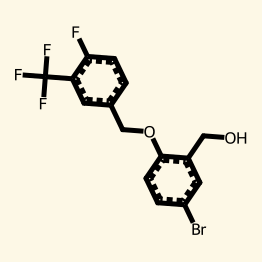 OCc1cc(Br)ccc1OCc1ccc(F)c(C(F)(F)F)c1